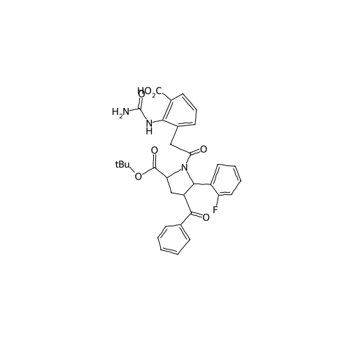 CC(C)(C)OC(=O)C1CC(C(=O)c2ccccc2)C(c2ccccc2F)N1C(=O)Cc1cccc(C(=O)O)c1NC(N)=O